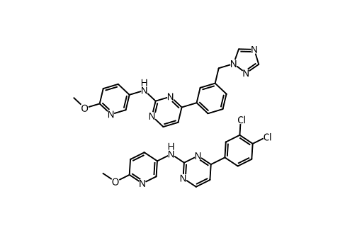 COc1ccc(Nc2nccc(-c3ccc(Cl)c(Cl)c3)n2)cn1.COc1ccc(Nc2nccc(-c3cccc(Cn4cncn4)c3)n2)cn1